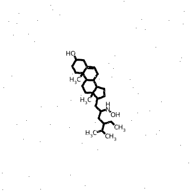 CCC(CC(CC1CCC2C3CC=C4CC(O)CCC4(C)C3CCC12C)NO)C(C)C